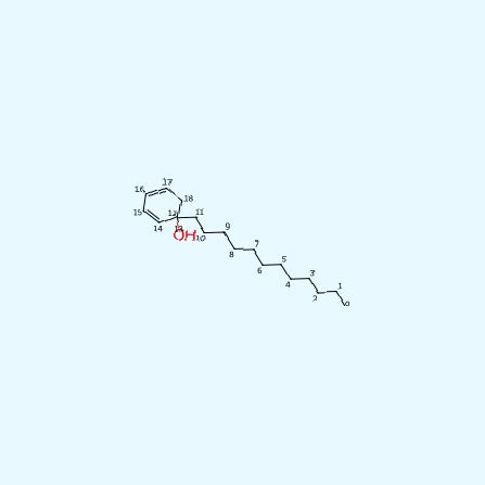 CCCCCCCCCCCCC1(O)C=CC=CC1